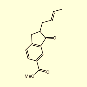 CC=CCC1Cc2ccc(C(=O)OC)cc2C1=O